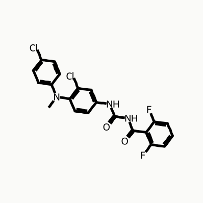 CN(c1ccc(Cl)cc1)c1ccc(NC(=O)NC(=O)c2c(F)cccc2F)cc1Cl